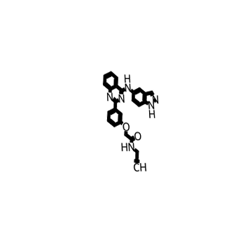 C#CCNC(=O)COc1cccc(-c2nc(Nc3ccc4[nH]ncc4c3)c3ccccc3n2)c1